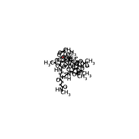 CNC(=O)CCC(=O)N(CCNC(=O)[C@@H](OC(C)=O)[C@H](OC(C)=O)[C@@H](OC(C)=O)[C@@H](COC(C)=O)OC(C)=O)CCNC(=O)[C@H](OC(C)=O)[C@@H](OC(C)=O)[C@H](OC(C)=O)[C@H](COC(C)=O)OC(C)=O